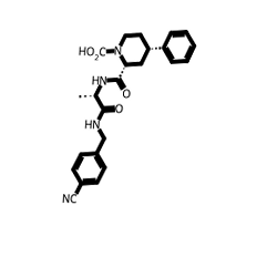 C[C@H](NC(=O)[C@H]1C[C@@H](c2ccccc2)CCN1C(=O)O)C(=O)NCc1ccc(C#N)cc1